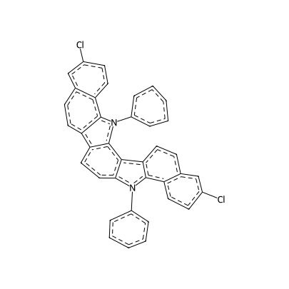 Clc1ccc2c(ccc3c4c(ccc5c6ccc7cc(Cl)ccc7c6n(-c6ccccc6)c54)n(-c4ccccc4)c23)c1